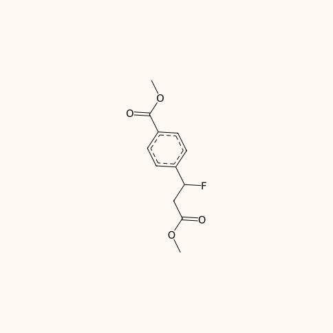 COC(=O)CC(F)c1ccc(C(=O)OC)cc1